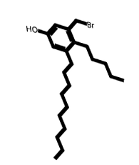 CCCCCCCCCCc1cc(O)cc(CBr)c1CCCCC